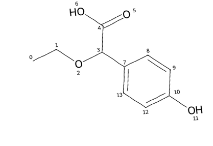 CCOC(C(=O)O)c1ccc(O)cc1